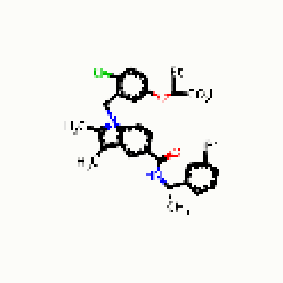 CCC(Oc1ccc(Cl)c(Cn2c(C)c(C)c3cc(C(=O)N[C@@H](C)c4cccc(C(C)C)c4)ccc32)c1)C(=O)O